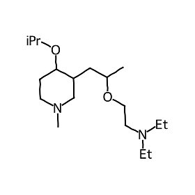 CCN(CC)CCOC(C)CC1CN(C)CCC1OC(C)C